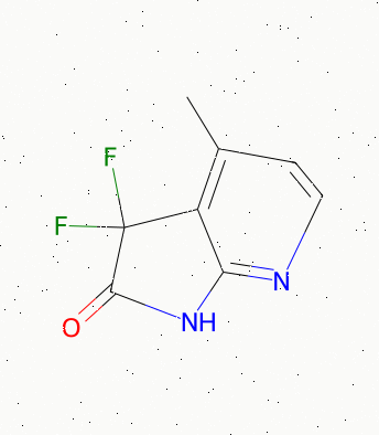 Cc1ccnc2c1C(F)(F)C(=O)N2